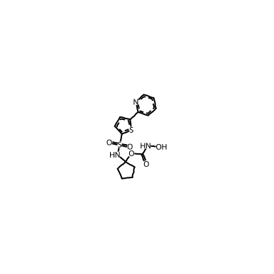 O=C(NO)OC1(NS(=O)(=O)c2ccc(-c3ccccn3)s2)CCCC1